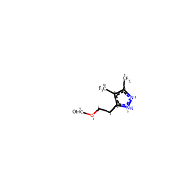 O=COCCc1[nH]nc(C(F)(F)F)c1C(F)(F)F